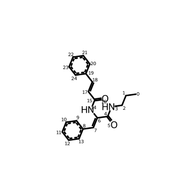 CCCNC(=O)/C(=C/c1ccccc1)NC(=O)/C=C/c1ccccc1